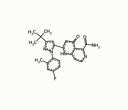 Cc1cc(F)ccc1-n1nc(C(C)(C)C)cc1-c1cc(=O)c2c(C(N)=O)nccc2[nH]1